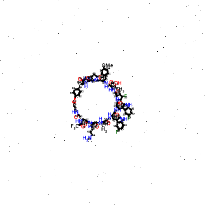 COc1ccc(C[C@@H]2NC(=O)[C@H]([C@@H](C)O)NC(=O)[C@@H]3C[C@H](F)CN3C(=O)[C@H](Cc3c[nH]c4ccc(F)cc34)NC(=O)[C@H](Cc3c[nH]c4ccc(F)cc34)NC(=O)[C@H](C)NC(=O)[C@H](CCCCN)NC(=O)[C@@H](NC(=O)C(F)(F)F)CC(=O)NCCOc3ccc(cc3)C[C@@H](C(N)=O)NC(=O)[C@]3(C)CCCN3C2=O)cc1